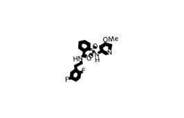 COc1cncc(NS(=O)(=O)c2ccccc2C(=O)NCCc2cc(F)ccc2F)c1